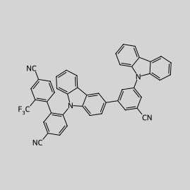 N#Cc1cc(-c2ccc3c(c2)c2ccccc2n3-c2ccc(C#N)cc2-c2ccc(C#N)cc2C(F)(F)F)cc(-n2c3ccccc3c3ccccc32)c1